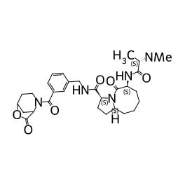 CN[C@@H](C)C(=O)N[C@H]1CCCC[C@H]2CC[C@@H](C(=O)NCc3cccc(C(=O)N4CCC5CC4C(=O)O5)c3)N2C1=O